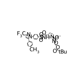 Cc1ccc(-c2cc(C(F)(F)F)nn2-c2ccc(S(=O)(=O)NC(=O)C3CCN([N+]([O-])=NOCOC(=O)C(C)(C)C)C3)cc2)cc1